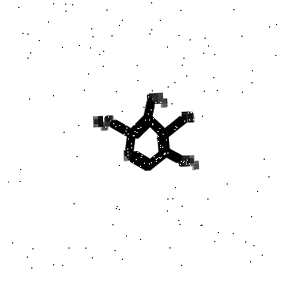 CCc1c(C)cnc(C)c1C